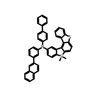 C[Si]1(C)c2ccc(N(c3ccc(-c4ccccc4)cc3)c3cccc(-c4ccc5ccccc5c4)c3)cc2-c2c1ccc1sc3ccccc3c21